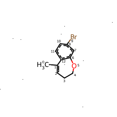 CC1=CCCOc2cc(Br)ccc21